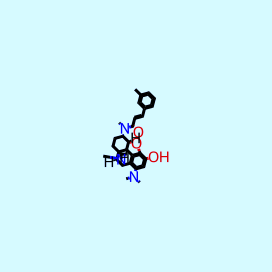 Cc1cccc(C=CC(=O)N(C)[C@H]2CC[C@H]3[C@H]4Cc5c(N(C)C)cc(O)c6c5[C@@]3(CCN4C)[C@H]2O6)c1